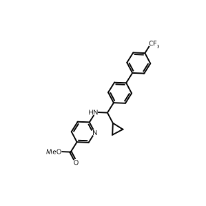 COC(=O)c1ccc(NC(c2ccc(-c3ccc(C(F)(F)F)cc3)cc2)C2CC2)nc1